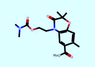 COC(=O)c1cc2c(cc1C)OC(C)(C)C(=O)N2CCOC(=O)N(C)C